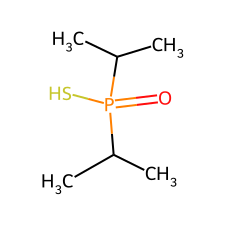 CC(C)P(=O)(S)C(C)C